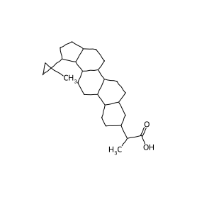 CC(C(=O)O)C1CCC2C(CCC3C2CCC2C3CCC3CCC(C4(C)CC4)C32)C1